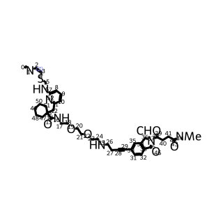 C=N/C=C\SCNc1cccc(CC2(C(=O)NCCOCCOCCNCCC#Cc3ccc4c(c3)CN(C(C=O)CCC(=O)NC)C4=O)CCCCC2)n1